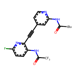 CC(C)(C)C(=O)Nc1cc(C#Cc2nc(F)ccc2NC(=O)C(F)(F)F)ccn1